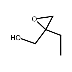 CCC1(CO)CO1